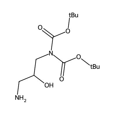 CC(C)(C)OC(=O)N(CC(O)CN)C(=O)OC(C)(C)C